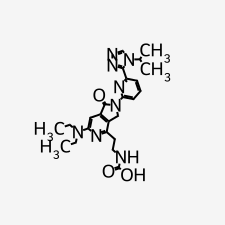 CCN(CC)c1cc2c(c(CCNC(=O)O)n1)CN(c1cccc(-c3nncn3C(C)C)n1)C2=O